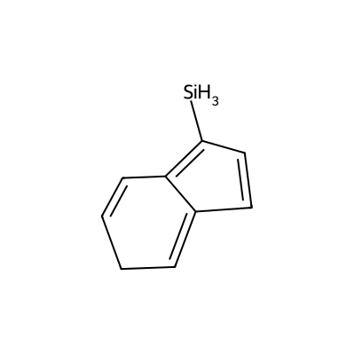 [SiH3]C1=C2C=CCC=C2C=C1